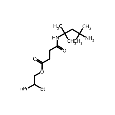 CCCC(CC)COC(=O)CCC(=O)NC(C)(C)CC(C)(C)N